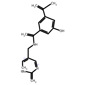 C=C(C)c1cc(O)cc(C(=C)NCC(/C=N\C(=C)C(C)(C)C)=C/C)c1